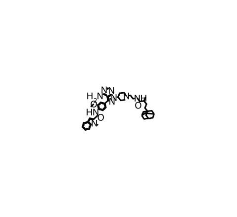 COc1cc(-c2nn(C3CCN(CCNC(=O)C(C)CCC45CC6CC(CC(C6)C4)C5)CC3)c3ncnc(N)c23)ccc1NC(=O)c1cc2ccccc2n1C